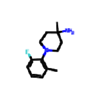 Cc1cccc(F)c1N1CCC(C)(N)CC1